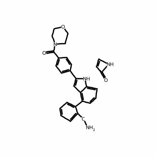 NCc1ccccc1-c1cccc2[nH]c(-c3ccc(C(=O)N4CCOCC4)cc3)cc12.O=C1C=CN1